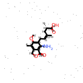 COc1c(C)c2c(c(N)c1CC=C(C)C[C@H](C)C(=O)O)C(=O)OC2